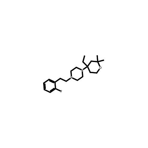 CCC1(N2CCN(CCc3ccccc3F)CC2)CCOC(C)(C)C1